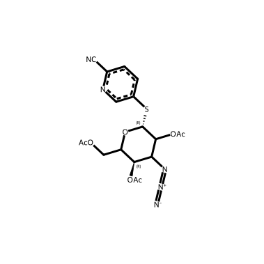 CC(=O)OCC1O[C@H](Sc2ccc(C#N)nc2)C(OC(C)=O)C(N=[N+]=[N-])[C@H]1OC(C)=O